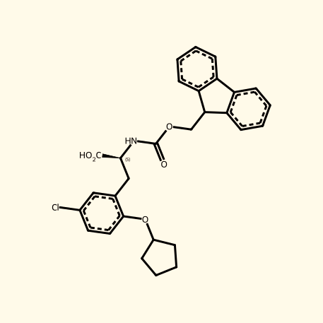 O=C(N[C@@H](Cc1cc(Cl)ccc1OC1CCCC1)C(=O)O)OCC1c2ccccc2-c2ccccc21